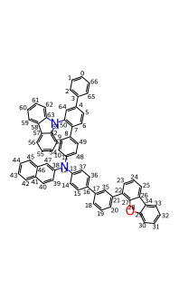 c1ccc(-c2ccc(-c3ccc(N(c4ccc(-c5cccc(-c6cccc7c6oc6ccccc67)c5)cc4)c4ccc5ccccc5c4)cc3)c(-n3c4ccccc4c4ccccc43)c2)cc1